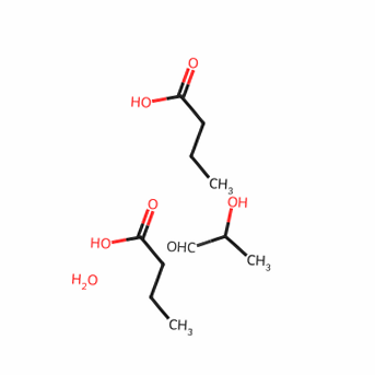 CC(O)C=O.CCCC(=O)O.CCCC(=O)O.O